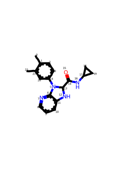 Cc1ccc(N2c3ncccc3NC2C(=O)NC2CC2)cc1C